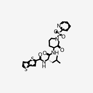 CC(C)C[C@H](NC(=O)c1cc2sccc2s1)C(=O)NC1CCCN(S(=O)(=O)c2ccccn2)CC1=O